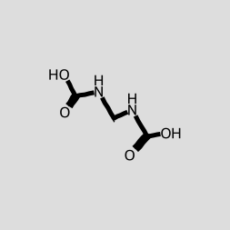 O=C(O)N[CH]NC(=O)O